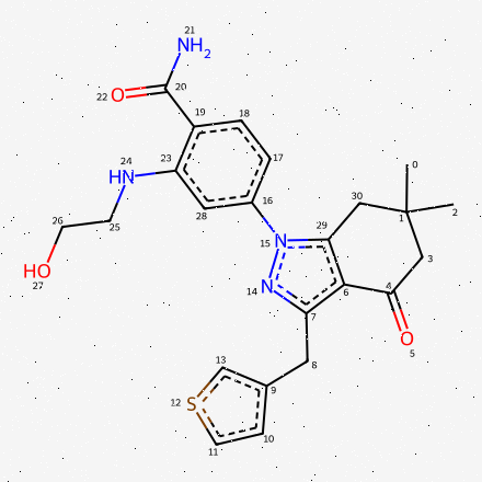 CC1(C)CC(=O)c2c(Cc3ccsc3)nn(-c3ccc(C(N)=O)c(NCCO)c3)c2C1